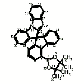 CC1(C)OB(c2cccc3c2-c2ccccc2C32c3ccccc3-n3c2nc2ccccc23)OC1(C)C